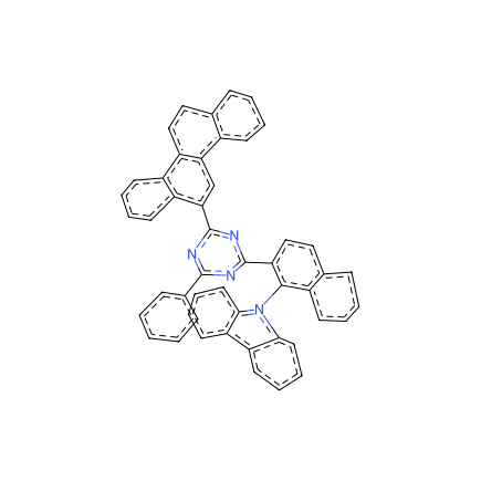 c1ccc(-c2nc(-c3ccc4ccccc4c3-n3c4ccccc4c4ccccc43)nc(-c3cc4c5ccccc5ccc4c4ccccc34)n2)cc1